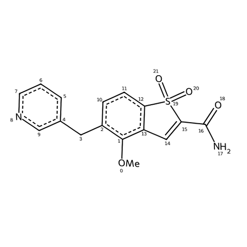 COc1c(Cc2cccnc2)ccc2c1C=C(C(N)=O)S2(=O)=O